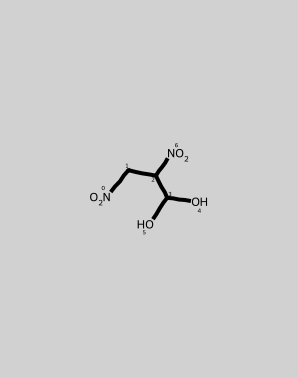 O=[N+]([O-])CC(C(O)O)[N+](=O)[O-]